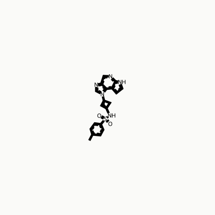 Cc1ccc(S(=O)(=O)NC23CC(n4cnc5cnc6[nH]ccc6c54)(C2)C3)cc1